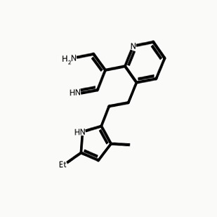 CCc1cc(C)c(CCc2cccnc2/C(C=N)=C/N)[nH]1